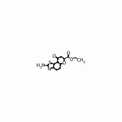 CCOC(=O)c1cc(=O)c2c(ccc3nc(N)sc32)o1